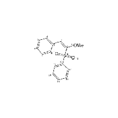 COC(=Cc1ccccc1)S(=O)(=O)c1ccccc1